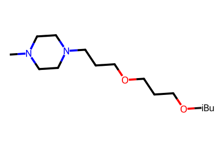 CCC(C)OCCCOCCCN1CCN(C)CC1